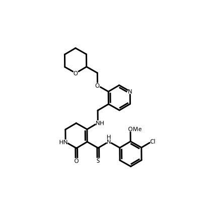 COc1c(Cl)cccc1NC(=S)C1=C(NCc2ccncc2OCC2CCCCO2)CCNC1=O